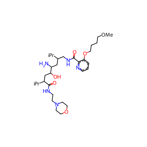 COCCCCOc1cccnc1C(=O)NCC(CC(N)C(O)CC(C(=O)NCCN1CCOCC1)C(C)C)C(C)C